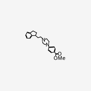 COC(=O)c1ccc(N2CCN(CCC3CCc4ccccc43)CC2)cc1